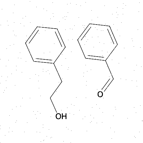 O=Cc1ccccc1.OCCc1ccccc1